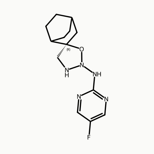 Fc1cnc(NN2NC[C@]3(CC4CCC3CC4)O2)nc1